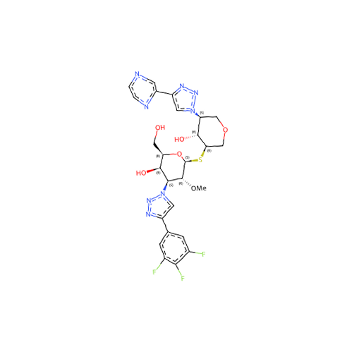 CO[C@@H]1[C@@H](n2cc(-c3cc(F)c(F)c(F)c3)nn2)[C@@H](O)[C@@H](CO)O[C@H]1S[C@@H]1COC[C@H](n2cc(-c3cnccn3)nn2)[C@H]1O